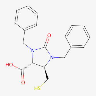 O=C(O)[C@H]1[C@H](CS)N(Cc2ccccc2)C(=O)N1Cc1ccccc1